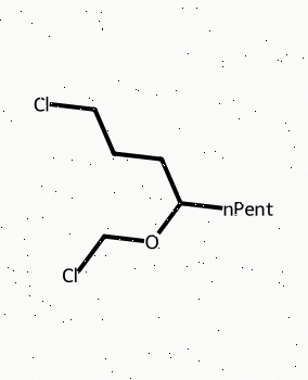 CCCCCC(CCCCl)OCCl